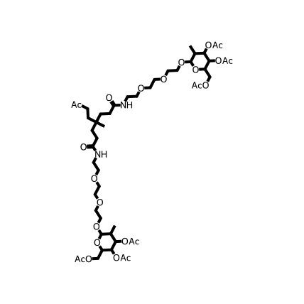 CC(=O)CCC(C)(CCC(=O)NCCOCCOCCOC1OC(COC(C)=O)C(OC(C)=O)C(OC(C)=O)C1C)CCC(=O)NCCOCCOCCOC1OC(COC(C)=O)C(OC(C)=O)C(OC(C)=O)C1C